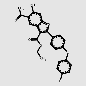 CCOC(=O)c1c(-c2ccc(Oc3ccc(F)cc3)cc2)oc2cc(N)c(C(C)=O)cc12